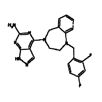 Nc1nc(N2CCN(Cc3ccc(F)cc3F)c3ccccc3C2)c2cn[nH]c2n1